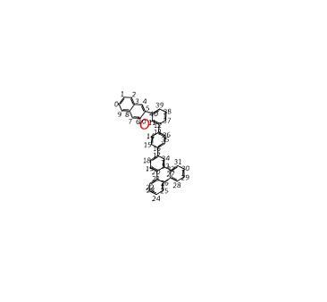 c1ccc2cc3c(cc2c1)oc1c(-c2ccc(-c4ccc5c6ccccc6c6ccccc6c5c4)cc2)cccc13